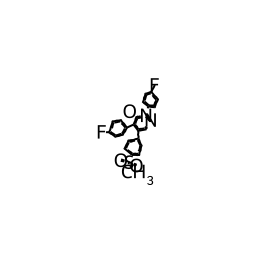 CS(=O)(=O)c1ccc(-c2cnn(-c3ccc(F)cc3)c(=O)c2-c2ccc(F)cc2)cc1